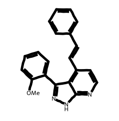 COc1ccccc1-c1n[nH]c2nccc(C=Cc3ccccc3)c12